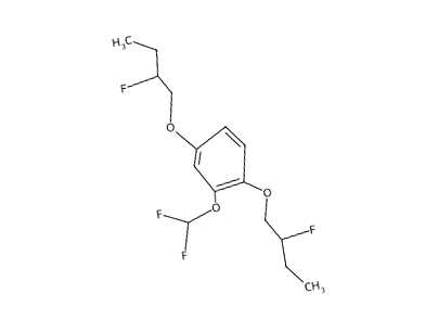 CCC(F)COc1ccc(OCC(F)CC)c(OC(F)F)c1